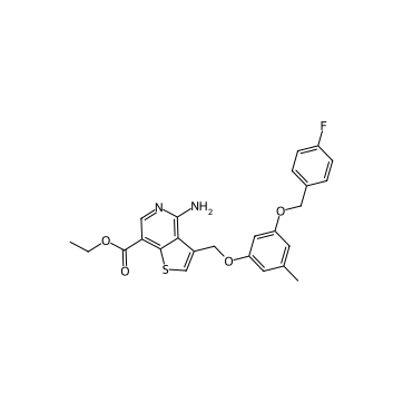 CCOC(=O)c1cnc(N)c2c(COc3cc(C)cc(OCc4ccc(F)cc4)c3)csc12